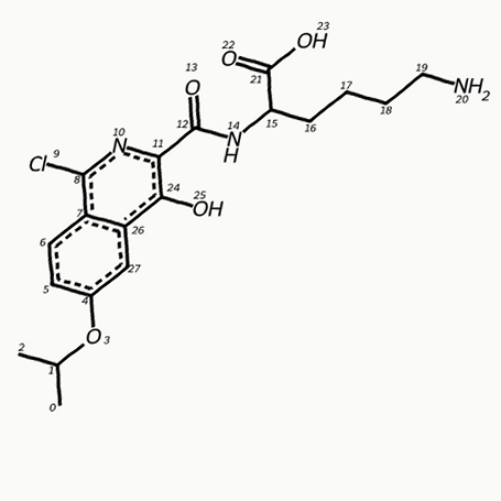 CC(C)Oc1ccc2c(Cl)nc(C(=O)NC(CCCCN)C(=O)O)c(O)c2c1